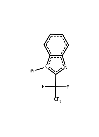 CC(C)n1c(C(F)(F)C(F)(F)F)nc2ccccc21